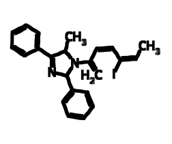 C=C(/C=C\C(I)=C/C)N1C(C)C(c2ccccc2)=NC1c1ccccc1